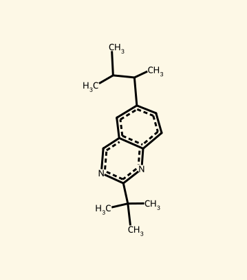 CC(C)C(C)c1ccc2nc(C(C)(C)C)ncc2c1